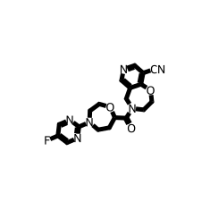 N#Cc1cncc2c1OCCN(C(=O)C1CCN(c3ncc(F)cn3)CCO1)C2